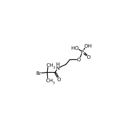 CC(C)(Br)C(=O)NCCOP(=O)(O)O